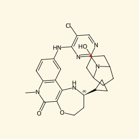 Cn1c(=O)c2c(c3cc(Nc4nc(N5C6CCC5CC(O)C6)ncc4Cl)ccc31)N[C@@H](C1CC1)CCO2